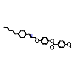 CCCCCC1CCC(/C=C/COc2ccc(OC(=O)c3ccc(OC)cc3)cc2)CC1